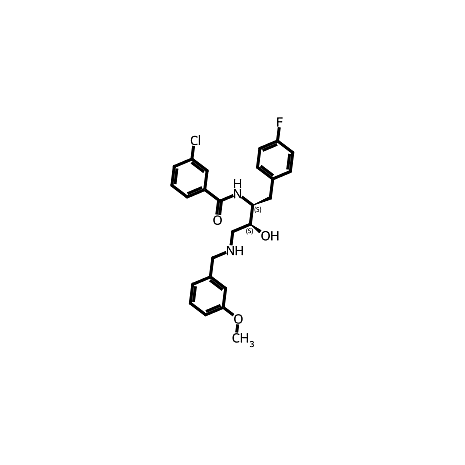 COc1cccc(CNC[C@H](O)[C@H](Cc2ccc(F)cc2)NC(=O)c2cccc(Cl)c2)c1